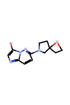 Brc1cnc2ccc(N3CCC4(CCO4)C3)nn12